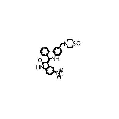 O=C1Nc2ccc([N+](=O)[O-])cc2C1=C(Nc1ccc(CN2CC[S+]([O-])CC2)cc1)c1ccccc1